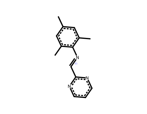 Cc1cc(C)c(/N=C/c2ncccn2)c(C)c1